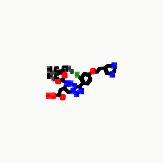 CC(C)(C)OC(=O)NC(CC(=O)O)Cn1nnc(-c2ccc(OCCc3cncnc3)cc2F)n1